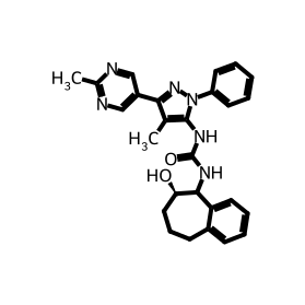 Cc1ncc(-c2nn(-c3ccccc3)c(NC(=O)NC3c4ccccc4CCC[C@H]3O)c2C)cn1